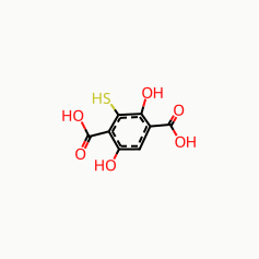 O=C(O)c1cc(O)c(C(=O)O)c(S)c1O